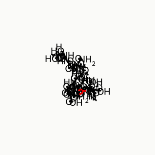 CC(C)C[C@H](NC(=O)[C@H](CO)NC(=O)CNC(=O)CNC(=O)[C@@H]1CCCN1C(=O)[C@H](CCC(N)=O)NC(=O)[C@@H](NC(=O)[C@H](CC(C)C)NC(=O)CNC(=O)CNC(=O)CNC(=O)[C@H](CO)NC(=O)[C@H](CCC(=O)O)NC(=O)[C@@H](NC(=O)[C@H](CC(C)C)NC(=O)[C@H](CCC(N)=O)NC(=O)[C@@H](NC(=O)[C@H](CCC(=O)O)NC(=O)[C@H](CCC(=O)O)NC(=O)[C@@H](N)CC(C)C)C(C)C)C(C)C)C(C)C)C(=O)O